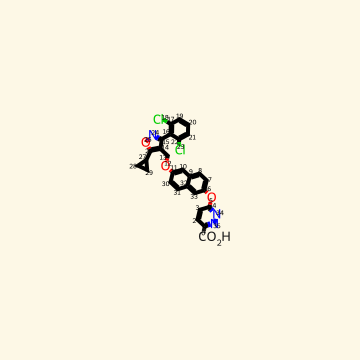 O=C(O)c1ccc(Oc2ccc3cc(OCc4c(-c5c(Cl)cccc5Cl)noc4C4CC4)ccc3c2)nn1